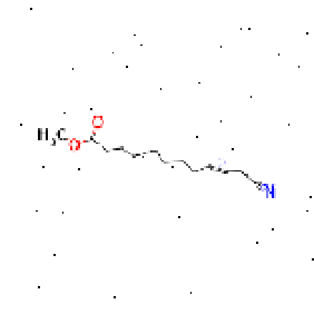 COC(=O)CCCCCCC/C=C/CC#N